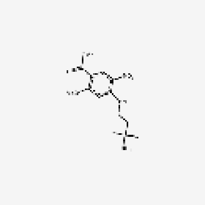 COC(=O)c1cc([N+](=O)[O-])c(NCCC(C)(C)N)cc1OC